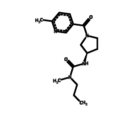 CCCN(C)C(=O)N[C@@H]1CCN(C(=O)c2ccc(C)nc2)C1